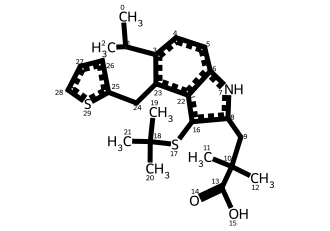 CC(C)c1ccc2[nH]c(CC(C)(C)C(=O)O)c(SC(C)(C)C)c2c1Cc1cccs1